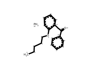 CCCCCOc1ccccc1C(=O)c1ccccc1.P